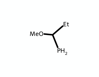 CCC(P)OC